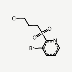 O=S(=O)(CCCCl)c1ncccc1Br